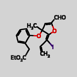 C=C/C(I)=C1/OC(C=O)=CC1(C)Oc1ccccc1CC(=O)OCC